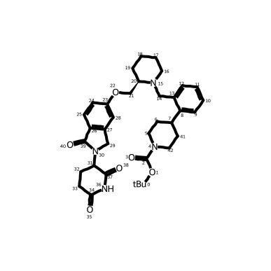 CC(C)(C)OC(=O)N1CCC(c2ccccc2CN2CCCC[C@@H]2COc2ccc3c(c2)CN(C2CCC(=O)NC2=O)C3=O)CC1